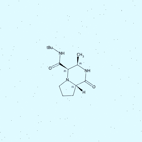 C[C@H]1NC(=O)[C@@H]2CCCN2[C@H]1C(=O)NC(C)(C)C